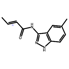 C/C=C/C(=O)Nc1n[nH]c2ccc(C)cc12